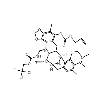 C=CCOC(=O)Oc1c(C)c2c(c3c1CC1[C@H]4c5c(cc(C)c(OC)c5OCOC)C[C@@H]([C@H](C#N)N1[C@H]3CNC(=O)OCC(Cl)(Cl)Cl)N4C)OCO2